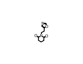 O=C1CCCC(=O)N1CCc1cnco1